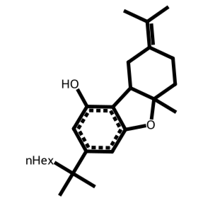 CCCCCCC(C)(C)c1cc(O)c2c(c1)OC1(C)CCC(=C(C)C)CC21